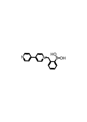 OB(O)c1ccccc1C[n+]1ccc(-c2ccncc2)cc1